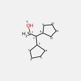 O[SiH2]C(C1CCCC1)C1CCCC1